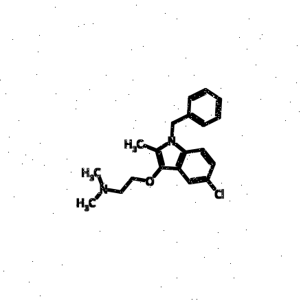 Cc1c(OCCN(C)C)c2cc(Cl)ccc2n1Cc1ccccc1